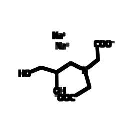 O=C([O-])CN(CC(=O)[O-])CC(O)CO.[Na+].[Na+]